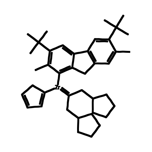 Cc1cc2c(cc1C(C)(C)C)-c1cc(C(C)(C)C)c(C)[c]([Zr]([C]3=CC=CC3)=[C](CC3CCCC3)CC3CCCC3)c1C2